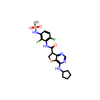 CCCS(=O)(=O)Nc1ccc(F)c(NC(=O)C2CSc3c(NC4CCCC4)ncnc32)c1F